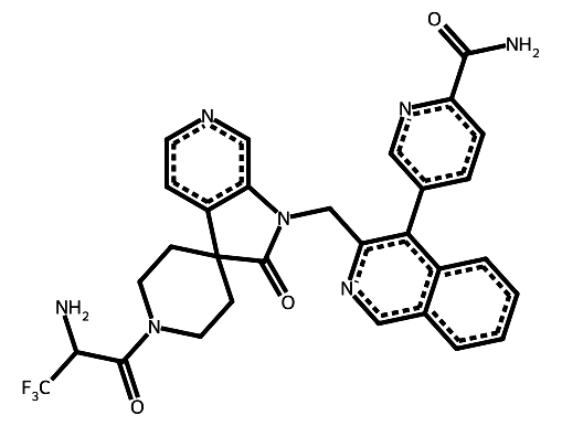 NC(=O)c1ccc(-c2c(CN3C(=O)C4(CCN(C(=O)C(N)C(F)(F)F)CC4)c4ccncc43)ncc3ccccc23)cn1